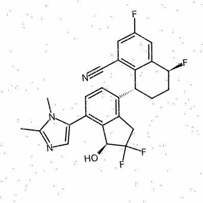 Cc1ncc(-c2ccc([C@H]3CC[C@H](F)c4cc(F)cc(C#N)c43)c3c2[C@H](O)C(F)(F)C3)n1C